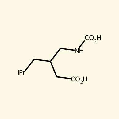 CC(C)CC(CNC(=O)O)CC(=O)O